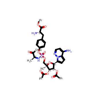 COC(=O)[C@H](C)N[P@@](=O)(OC[C@@]1(C#N)O[C@@H](c2ccc3c(N)ccnn23)[C@H](OC(=O)C(C)C)[C@@H]1OC(=O)C(C)C)Oc1ccc(C[C@H](N)C(=O)OC(C)C)cc1